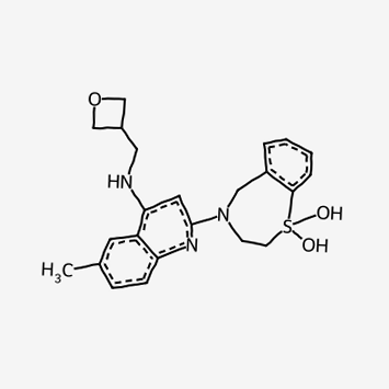 Cc1ccc2nc(N3CCS(O)(O)c4ccccc4C3)cc(NCC3COC3)c2c1